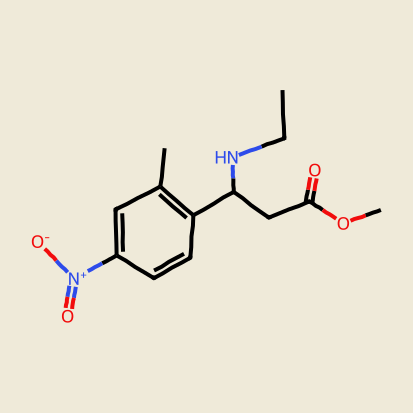 CCNC(CC(=O)OC)c1ccc([N+](=O)[O-])cc1C